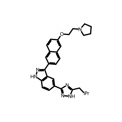 CC(C)Cc1nc(-c2ccc3[nH]nc(-c4ccc5cc(OCCN6CCCC6)ccc5c4)c3c2)n[nH]1